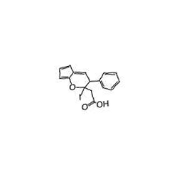 O=C(O)CC1(I)OC2=CC=CC2=CC1c1ccccc1